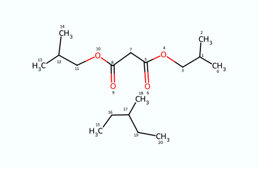 CC(C)COC(=O)CC(=O)OCC(C)C.CCC(C)CC